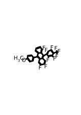 COc1ccc(-c2c3cc(F)c(F)cc3c(-c3c(F)c(F)c(C(F)(F)F)c(F)c3F)c3c(F)cccc23)cc1